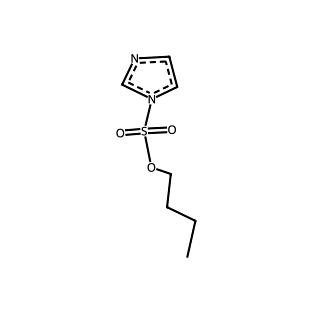 CCCCOS(=O)(=O)n1ccnc1